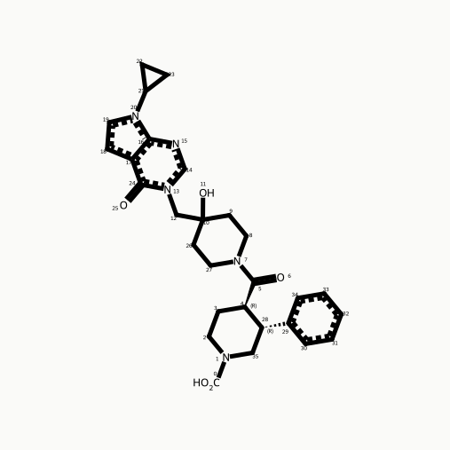 O=C(O)N1CC[C@@H](C(=O)N2CCC(O)(Cn3cnc4c(ccn4C4CC4)c3=O)CC2)[C@H](c2ccccc2)C1